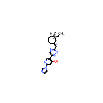 CC[C@@]1(C)CCCC/C(=C\c2ncc(-c3cnc(-n4ccnc4)cc3O)nn2)C1